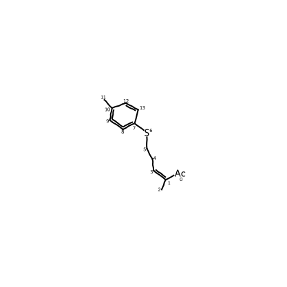 CC(=O)/C(C)=C\CCSC1=C=C=C(C)C=C1